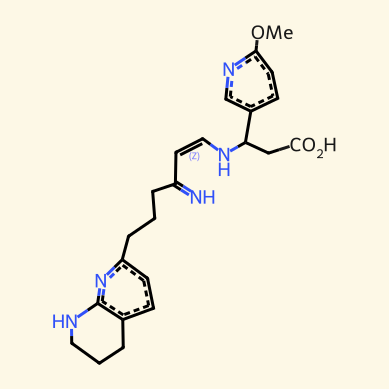 COc1ccc(C(CC(=O)O)N/C=C\C(=N)CCCc2ccc3c(n2)NCCC3)cn1